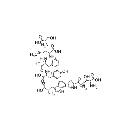 CSCC[C@H](N)C(=O)O.C[C@@H](O)[C@H](N)C(=O)O.N[C@@H](CO)C(=O)O.N[C@@H](Cc1c[nH]c2ccccc12)C(=O)O.N[C@@H](Cc1ccc(O)cc1)C(=O)O.N[C@@H](Cc1ccccc1)C(=O)O.O=C(O)[C@@H]1CCCN1